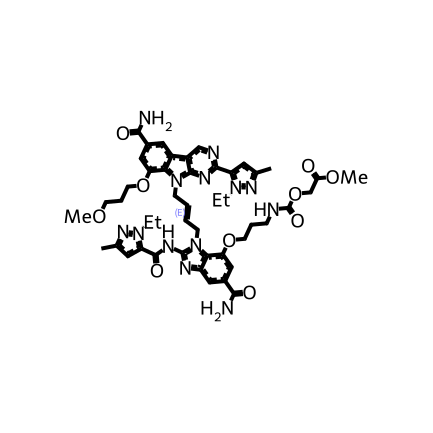 CCn1nc(C)cc1C(=O)Nc1nc2cc(C(N)=O)cc(OCCCNC(=O)OCC(=O)OC)c2n1C/C=C/Cn1c2nc(-c3cc(C)nn3CC)ncc2c2cc(C(N)=O)cc(OCCCOC)c21